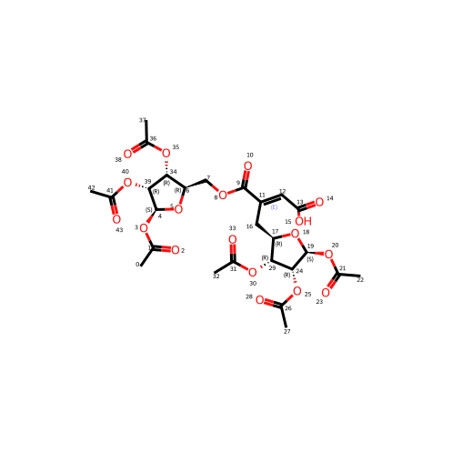 CC(=O)O[C@@H]1O[C@H](COC(=O)/C(=C/C(=O)O)C[C@H]2O[C@@H](OC(C)=O)[C@H](OC(C)=O)[C@@H]2OC(C)=O)[C@@H](OC(C)=O)[C@H]1OC(C)=O